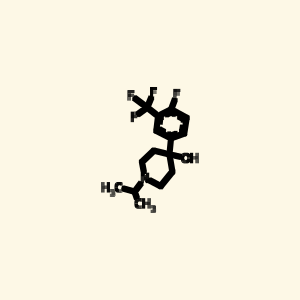 CC(C)N1CCC(O)(c2ccc(F)c(C(F)(F)F)c2)CC1